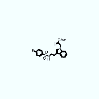 COC(=O)Cn1cc(CCNS(=O)(=O)c2ccc(F)cc2)c2ccccc21